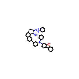 N=C1/C(=N\Nc2ccccc2)C=Cc2ccc3ccc(-c4cccc(N(c5ccccc5)c5ccc6c(c5)oc5ccccc56)c4)cc3c21